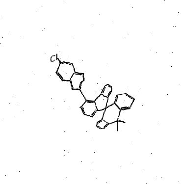 CC1(C)c2ccccc2C2(c3ccccc3-c3c(-c4ccc5cc(Cl)ccc5c4)cccc32)c2ccccc21